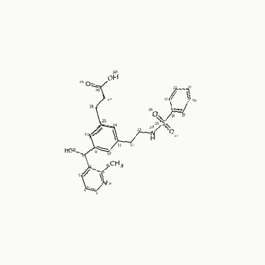 Cc1ncccc1C(O)c1cc(CCNS(=O)(=O)c2ccccc2)cc(CCC(=O)O)c1